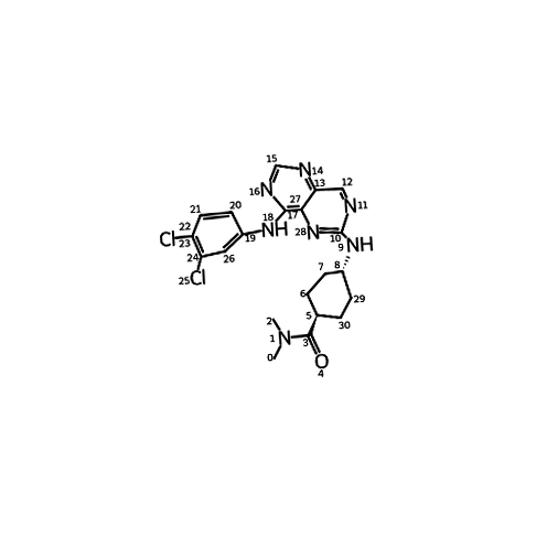 CN(C)C(=O)[C@H]1CC[C@H](Nc2ncc3ncnc(Nc4ccc(Cl)c(Cl)c4)c3n2)CC1